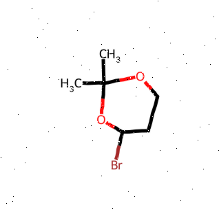 CC1(C)OCCC(Br)O1